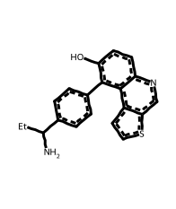 CCC(N)c1ccc(-c2c(O)ccc3ncc4sccc4c23)cc1